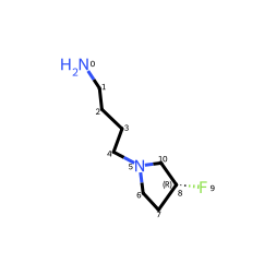 NCCCCN1CC[C@@H](F)C1